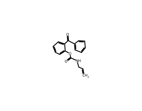 C=CCNC(=O)Oc1ccccc1C(=O)c1ccccc1